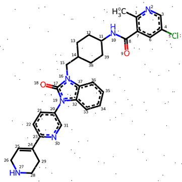 Cc1ncc(Cl)cc1C(=O)NC1CCC(Cn2c(=O)n(-c3ccc(C4=CCNCC4)nc3)c3ccccc32)CC1